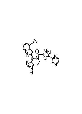 O=C(c1nnc(-c2cnccn2)o1)N1CCc2[nH]cnc2[C@H]1c1cc2c(C3CC3)cccn2n1